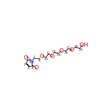 O=C1C=CC(=O)N1CCOCCOCCOCCOCCO